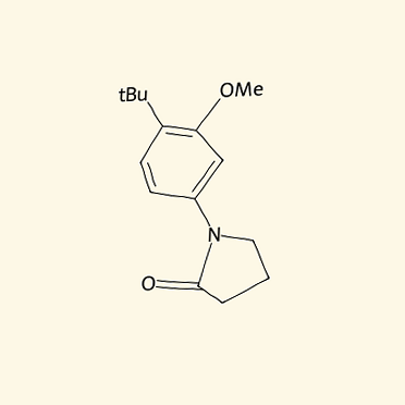 COc1cc(N2CCCC2=O)ccc1C(C)(C)C